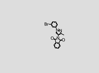 Cc1nn(-c2cccc(Br)c2)cc1N1C(=O)c2ccccc2C1=O